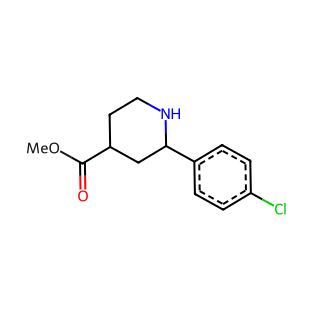 COC(=O)C1CCNC(c2ccc(Cl)cc2)C1